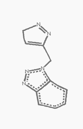 C1=C(Cn2nnc3ccccc32)N=NC1